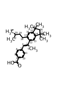 CC(=Cc1ccc(C(=O)O)cc1)c1cc2c(cc1CCC(C)C)C(C)(C)CC2(C)C